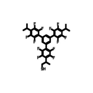 CC(C)c1c(F)c(F)c(-c2cc(-c3c(F)c(F)c(C(C)C)c(F)c3F)cc(-c3c(F)c(F)c(C(C)CS)c(F)c3F)c2)c(F)c1F